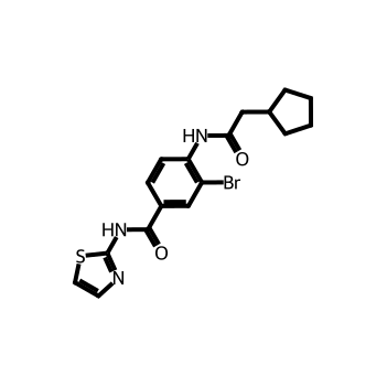 O=C(CC1CCCC1)Nc1ccc(C(=O)Nc2nccs2)cc1Br